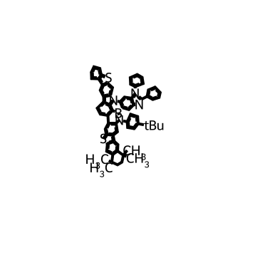 CC(C)(C)c1ccc(N2B3c4cc5nc(-c6ccccc6)n(-c6ccccc6)c5cc4-n4c5cc6sc7ccccc7c6cc5c5ccc(c3c54)-c3cc4sc5cc6c(cc5c4cc32)C(C)(C)CCC6(C)C)cc1